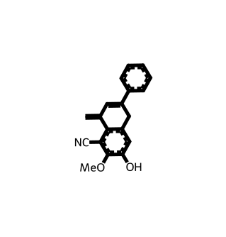 C=C1C=C(c2ccccc2)Cc2cc(O)c(OC)c(C#N)c21